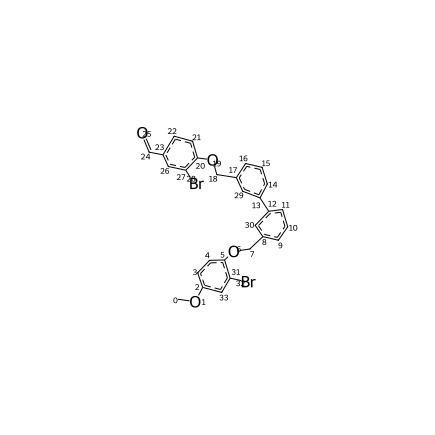 COc1ccc(OCc2cccc(-c3cccc(COc4ccc(C=O)cc4Br)c3)c2)c(Br)c1